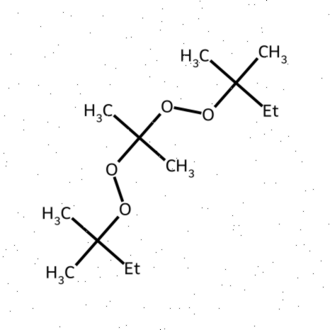 CCC(C)(C)OOC(C)(C)OOC(C)(C)CC